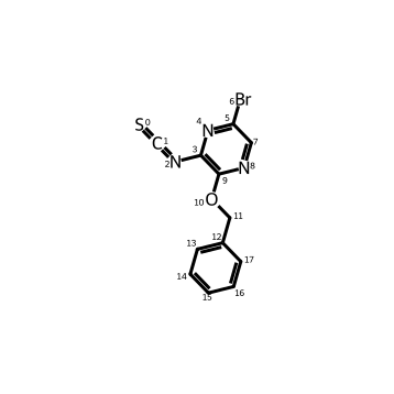 S=C=Nc1nc(Br)cnc1OCc1ccccc1